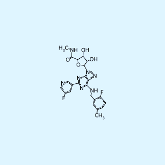 CNC(=O)C1OC(n2cnc3c(NCc4cc(C)ccc4F)nc(-c4cncc(F)c4)nc32)C(O)C1O